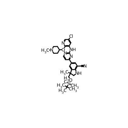 CN1CCC(Oc2ncc(Cl)cc2Nc2nccc(-c3cc(C#N)c4c(c3)C(C)(CO[Si](C)(C)C(C)(C)C)CN4)n2)CC1